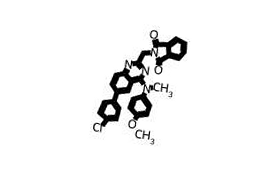 COc1ccc(N(C)c2nc(CN3C(=O)c4ccccc4C3=O)nc3ccc(-c4ccc(Cl)cc4)cc23)cc1